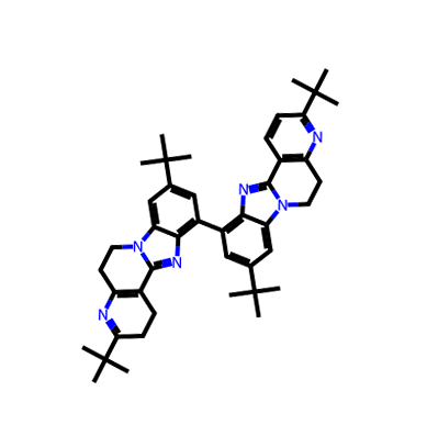 CC(C)(C)C1=NC2=C(CC1)c1nc3c(-c4cc(C(C)(C)C)cc5c4nc4n5CCc5nc(C(C)(C)C)ccc5-4)cc(C(C)(C)C)cc3n1CC2